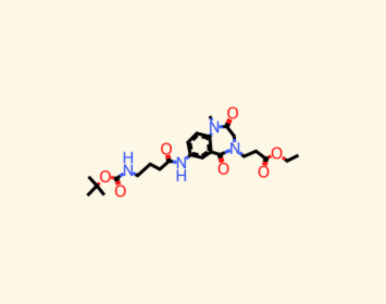 CCOC(=O)CCN1CC(=O)N(C)c2ccc(NC(=O)CCCNC(=O)OC(C)(C)C)cc2C1=O